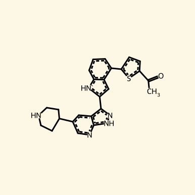 CC(=O)c1ccc(-c2cccc3[nH]c(-c4n[nH]c5ncc(C6CCNCC6)cc45)cc23)s1